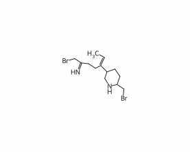 C/C=C(\CCC(=N)CBr)C1CCC(CBr)NC1